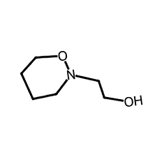 OCCN1CCCCO1